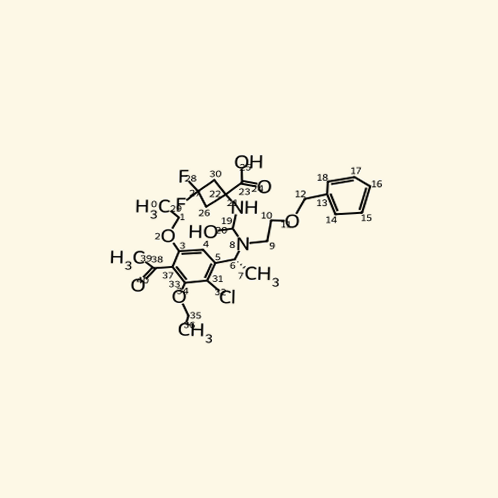 CCOc1cc([C@@H](C)N(CCOCc2ccccc2)C(O)NC2(C(=O)O)CC(F)(F)C2)c(Cl)c(OCC)c1C(C)=O